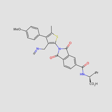 C=NCc1c(N2C(=O)c3ccc(C(=O)N[C@H](C(=O)O)C(C)C)cc3C2=O)sc(C)c1-c1ccc(OC)cc1